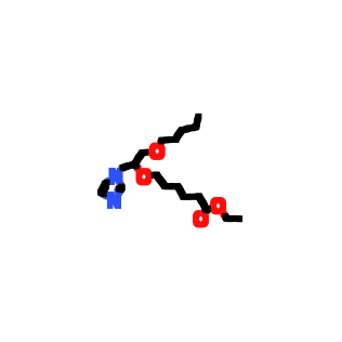 CCCCCOCC(Cn1ccnc1)OCCCCCC(=O)OCC